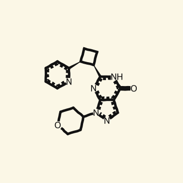 O=c1[nH]c([C@@H]2CC[C@@H]2c2ccccn2)nc2c1cnn2C1CCOCC1